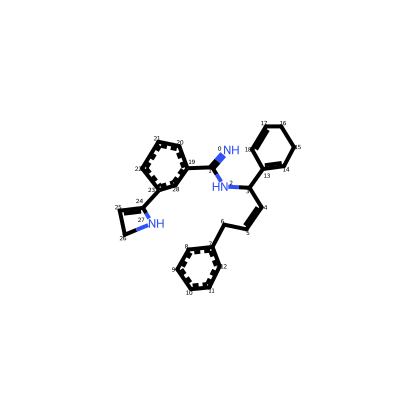 N=C(NC(/C=C\Cc1ccccc1)C1=CCCC=C1)c1cccc(C2=CCN2)c1